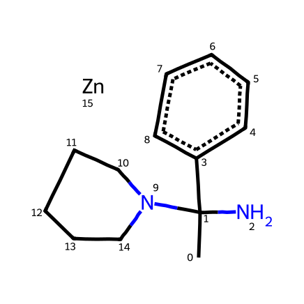 CC(N)(c1ccccc1)N1CCCCC1.[Zn]